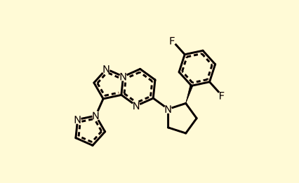 Fc1ccc(F)c([C@H]2CCCN2c2ccn3ncc(-n4cccn4)c3n2)c1